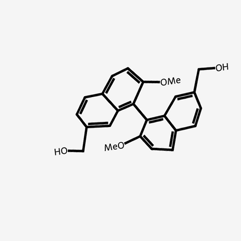 COc1ccc2ccc(CO)cc2c1-c1c(OC)ccc2ccc(CO)cc12